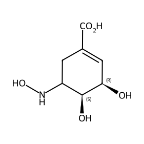 O=C(O)C1=C[C@@H](O)[C@@H](O)C(NO)C1